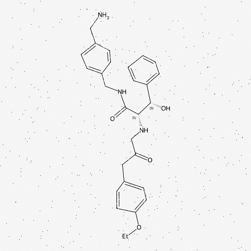 CCOc1ccc(CC(=O)CN[C@H](C(=O)NCc2ccc(CN)cc2)[C@@H](O)c2ccccc2)cc1